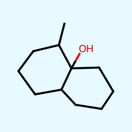 CC1CCCC2CCCCC12O